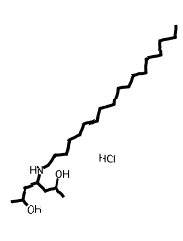 CCCCCCCCCCCCCCCCCCNC(CC(C)O)CC(C)O.Cl